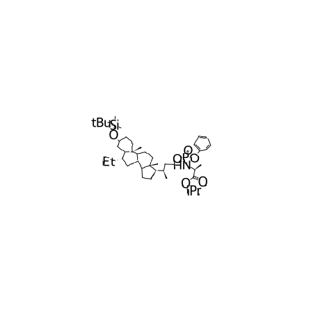 CC[C@H]1CC2C(CC[C@@]3(C)C2CC[C@@H]3[C@H](C)CCOP(=O)(N[C@@H](C)C(=O)OC(C)C)Oc2ccccc2)[C@@]2(C)CCC(O[Si](C)(C)C(C)(C)C)CC12